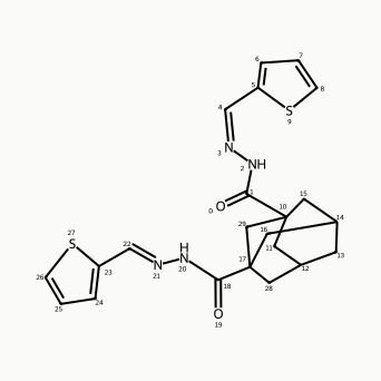 O=C(N/N=C\c1cccs1)C12CC3CC(C1)CC(C(=O)N/N=C/c1cccs1)(C3)C2